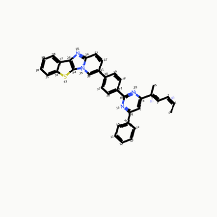 C/C=C\C=C(/C)c1cc(-c2ccccc2)nc(-c2ccc(-c3ccc4nc5c6ccccc6sc5n4c3)cc2)n1